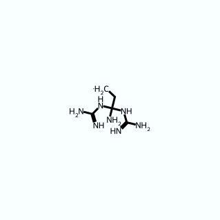 [CH2]CC(N)(NC(=N)N)NC(=N)N